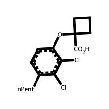 CCCCCc1ccc(OC2(C(=O)O)CCC2)c(Cl)c1Cl